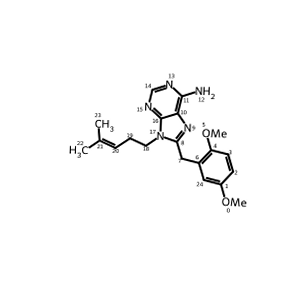 COc1ccc(OC)c(Cc2nc3c(N)ncnc3n2CCC=C(C)C)c1